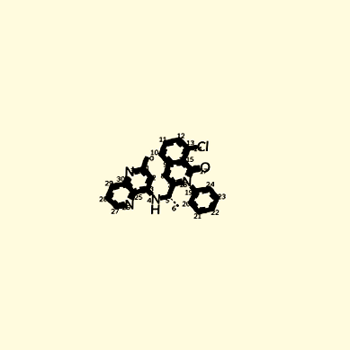 Cc1cc(N[C@@H](C)c2cc3cccc(Cl)c3c(=O)n2-c2ccccc2)c2ncccc2n1